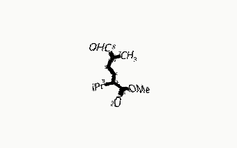 COC(=O)C(CCC(C)C=O)C(C)C